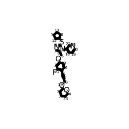 Fc1cc(OCc2cnc(SC3CCCC3)n2-c2cccnc2)ccc1C#CCOC1CCCCO1